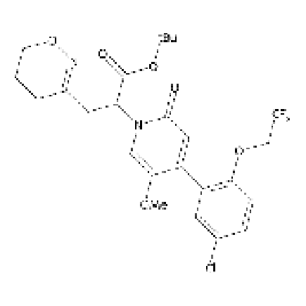 COc1cn(C(CC2=NOCCC2)C(=O)OC(C)(C)C)c(=O)cc1-c1cc(Cl)ccc1OCC(F)(F)F